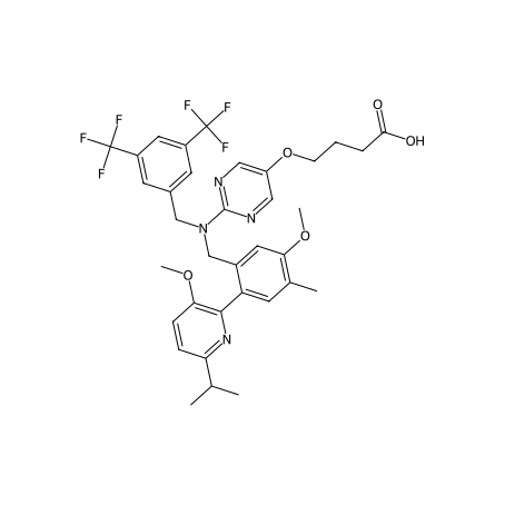 COc1cc(CN(Cc2cc(C(F)(F)F)cc(C(F)(F)F)c2)c2ncc(OCCCC(=O)O)cn2)c(-c2nc(C(C)C)ccc2OC)cc1C